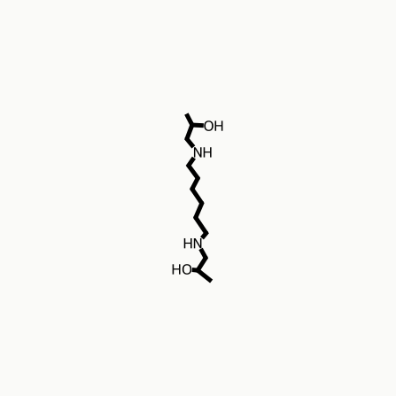 CC(O)CNCCCCCCNCC(C)O